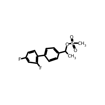 CC(OS(C)(=O)=O)c1ccc(-c2ccc(F)cc2F)cc1